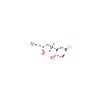 COC(=O)CC(C)(C)C1=CC(=O)C=CC1=O